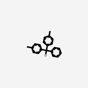 Cc1ccc(C([O])(c2ccccc2)c2ccc(C)cc2)cc1